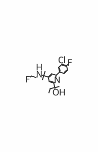 CCC(C)(O)c1cc(C(C)(C)NCCF)cc(-c2ccc(F)c(Cl)c2)n1